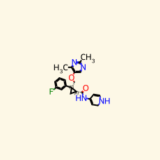 Cc1ncc(OC[C@@]2(c3cccc(F)c3)C[C@H]2C(=O)NC2=CCNC=C2)c(C)n1